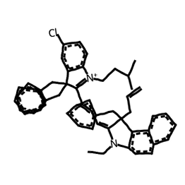 C=CCC1(Cc2ccccc2)/C(=C\C=C\C2=[N+](CCC(C)C)c3ccc(Cl)cc3C2(Cc2ccccc2)Cc2ccccc2)N(CC)c2ccc3ccccc3c21